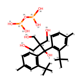 Cc1ccc(C(O)(c2ccc(C)cc2C(C)(C)C)C(CO)(CO)CO)c(C(C)(C)C)c1.OP(O)OP(O)O